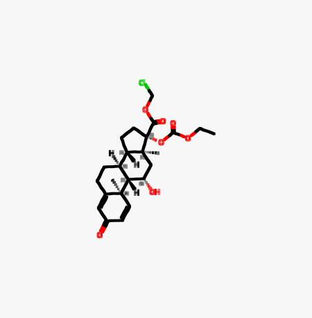 CCOC(=O)O[C@@]1(C(=O)OCCl)CC[C@H]2[C@@H]3CCC4=CC(=O)C=C[C@]4(C)[C@H]3[C@@H](O)C[C@@]21C